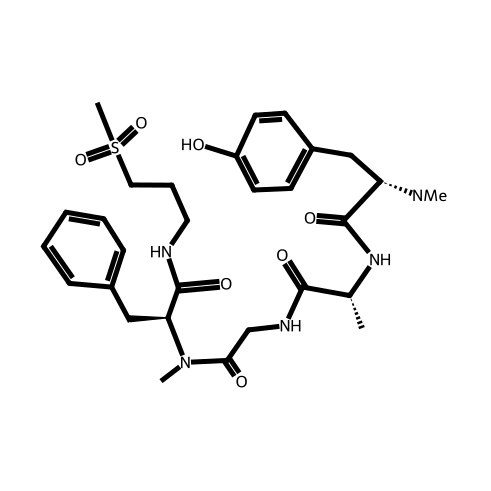 CN[C@@H](Cc1ccc(O)cc1)C(=O)N[C@H](C)C(=O)NCC(=O)N(C)[C@@H](Cc1ccccc1)C(=O)NCCCS(C)(=O)=O